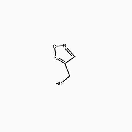 OCc1cnon1